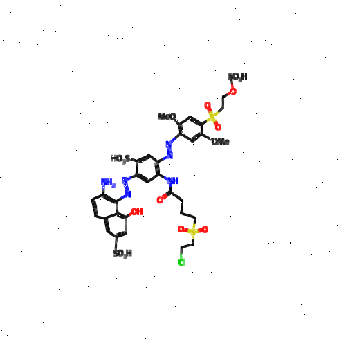 COc1cc(S(=O)(=O)CCOS(=O)(=O)O)c(OC)cc1/N=N/c1cc(S(=O)(=O)O)c(/N=N/c2c(N)ccc3cc(S(=O)(=O)O)cc(O)c23)cc1NC(=O)CCCS(=O)(=O)CCCl